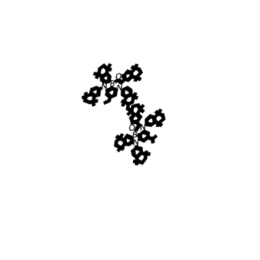 CCc1cc2c3c(c1)N(c1ccc4c(c1)C(C)(C)C(CC1(C)CCC(C)(C)c5cc6c7c(oc6cc51)B1c5cc6c(cc5N(c5ccc8c(c5)C(C)(C)CCC8(C)C)c5cc(C(C)C)cc(c51)N7c1ccc5c(c1)C(C)(C)CCC5(C)C)C(C)(C)CCC6(C)C)CC4(C)C)c1c(oc4cc5c(cc14)C(C)(C)CCC5(C)C)B3c1cc3c(cc1N2c1ccc2c(c1)C(C)(C)CCC2(C)C)C(C)(C)CCC3(C)C